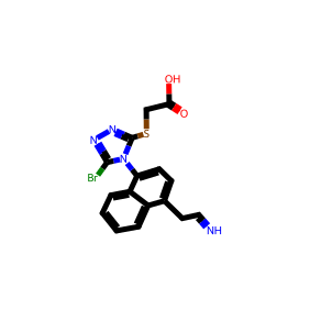 N=CCc1ccc(-n2c(Br)nnc2SCC(=O)O)c2ccccc12